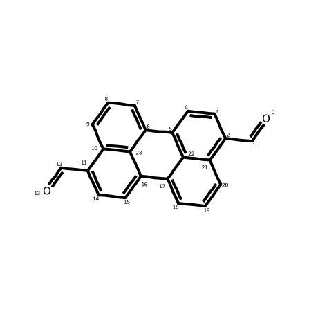 O=Cc1ccc2c3cccc4c(C=O)ccc(c5cccc1c52)c43